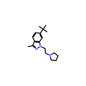 Cc1nn(CCN2CCCC2)c2cc(C(C)(C)C)ccc12